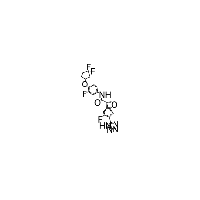 O=C(Nc1ccc(O[C@H]2CCC(F)(F)C2)c(F)c1)c1coc2cc(-c3nnn[nH]3)c(F)cc12